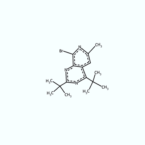 Cc1cc2c(C(C)(C)C)nc(C(C)(C)C)nc2c(Br)n1